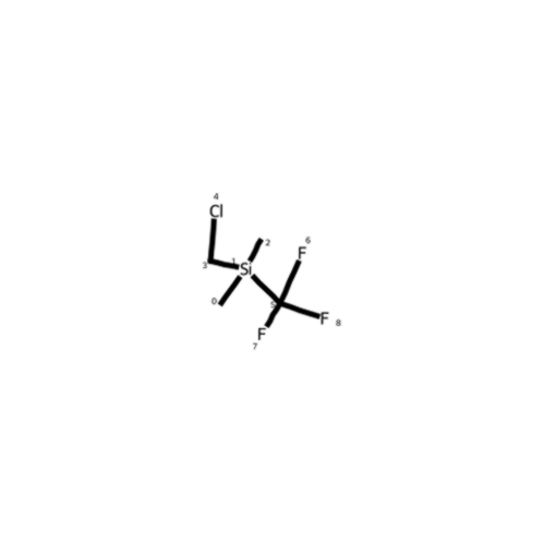 C[Si](C)(CCl)C(F)(F)F